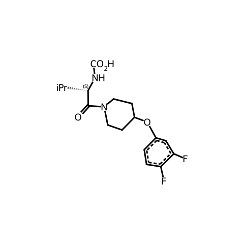 CC(C)[C@H](NC(=O)O)C(=O)N1CCC(Oc2ccc(F)c(F)c2)CC1